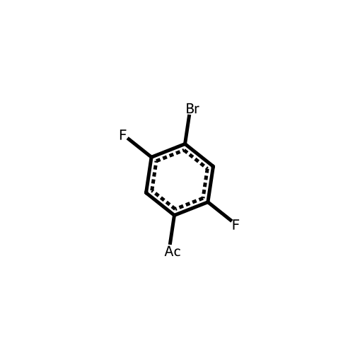 CC(=O)c1cc(F)c(Br)cc1F